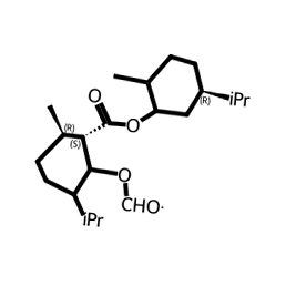 CC(C)C1CC[C@@H](C)[C@H](C(=O)OC2C[C@H](C(C)C)CCC2C)C1O[C]=O